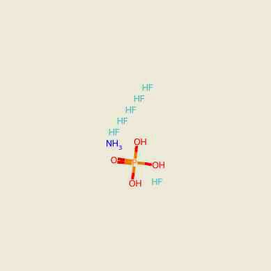 F.F.F.F.F.F.N.O=P(O)(O)O